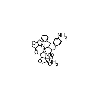 NC(=O)C12C(=O)COC1CCN2C(=O)C(Cc1ccc(N)cc1)[C](Cc1ccccc1)C(=O)N1CCC2OCC(=O)C21